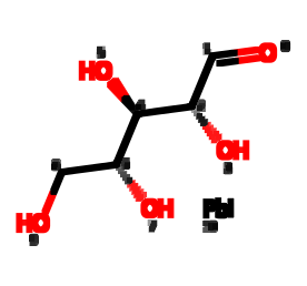 O=C[C@H](O)[C@H](O)[C@H](O)CO.[Pb]